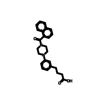 O=C(O)CCCc1cccc(N2CCN(C(=O)c3cccc4ccccc34)CC2)c1